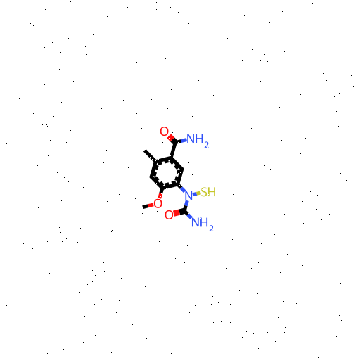 COc1cc(C)c(C(N)=O)cc1N(S)C(N)=O